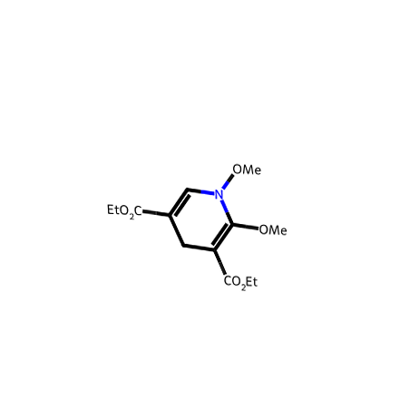 CCOC(=O)C1=CN(OC)C(OC)=C(C(=O)OCC)C1